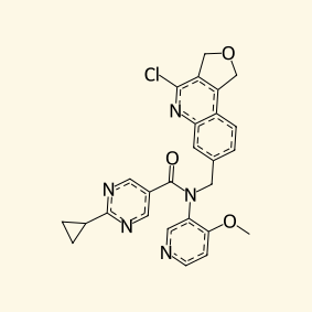 COc1ccncc1N(Cc1ccc2c3c(c(Cl)nc2c1)COC3)C(=O)c1cnc(C2CC2)nc1